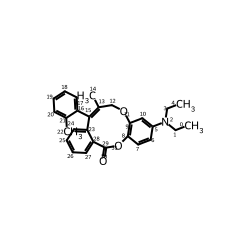 CCN(CC)c1ccc2c(c1)OC/C(C)=C(/c1ccccc1C)c1ccccc1C(=O)O2